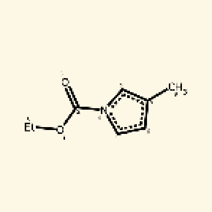 CCOC(=O)n1ccc(C)c1